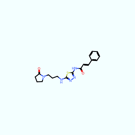 O=C(C=Cc1ccccc1)Nc1nnc(NCCCN2CCCC2=O)s1